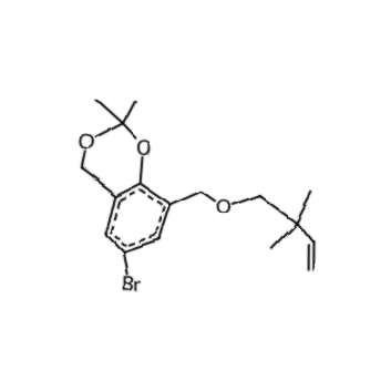 C=CC(C)(C)COCc1cc(Br)cc2c1OC(C)(C)OC2